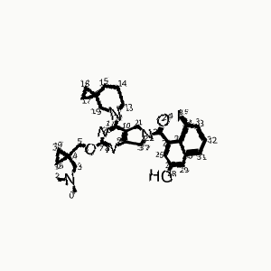 CN(C)CC1(COc2nc3c(c(N4CCCC5(CC5)C4)n2)CN(C(=O)c2cc(O)cc4cccc(I)c24)C3)CC1